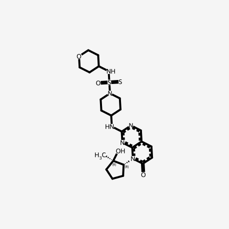 C[C@@]1(O)CCC[C@H]1n1c(=O)ccc2cnc(NC3CCN(S(=O)(=S)NC4CCOCC4)CC3)nc21